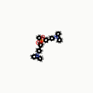 O=P12c3ccc(-c4ccc(-n5c6ccccc6c6ccccc65)cc4)cc3Oc3cccc(c31)Oc1cc(-c3ccc(-n4c5ccccc5c5ccccc54)cc3)ccc12